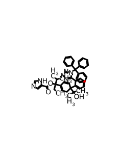 CCC(OC(=O)c1cnc[nH]1)(C1=CCC(c2ccccc2-c2nnnn2C(c2ccccc2)(c2ccccc2)c2ccccc2)(C(C)(C)O)C=C1)C(C)C